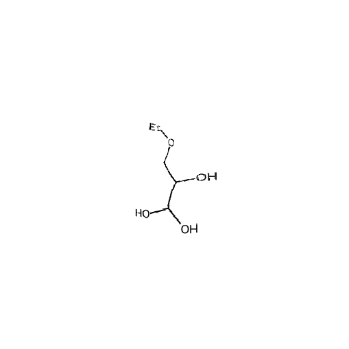 CCOCC(O)C(O)O